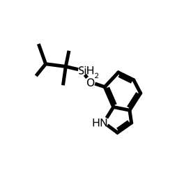 CC(C)C(C)(C)[SiH2]Oc1cccc2cc[nH]c12